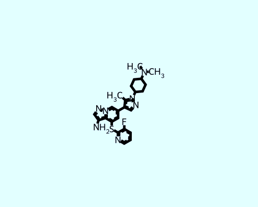 Cc1c(-c2cc(Sc3ncccc3F)c3c(N)cnn3c2)cnn1C1CCC(N(C)C)CC1